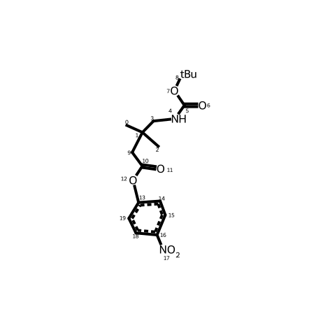 CC(C)(CNC(=O)OC(C)(C)C)CC(=O)Oc1ccc([N+](=O)[O-])cc1